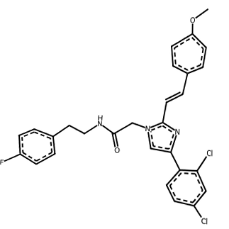 COc1ccc(C=Cc2nc(-c3ccc(Cl)cc3Cl)cn2CC(=O)NCCc2ccc(F)cc2)cc1